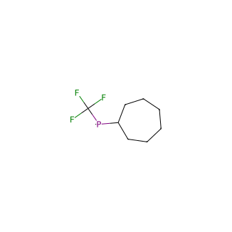 FC(F)(F)[P]C1CCCCCC1